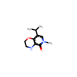 CC(C)c1cn(C)c(=O)c2c1OCCN2